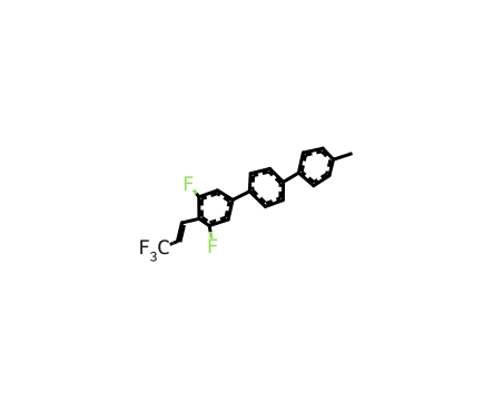 Cc1ccc(-c2ccc(-c3cc(F)c(/C=C/C(F)(F)F)c(F)c3)cc2)cc1